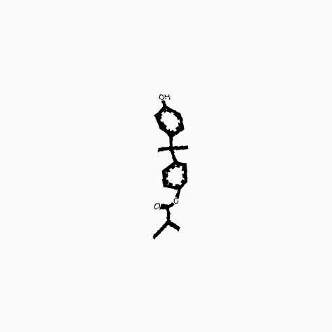 CC(C)C(=O)Oc1ccc(C(C)(C)c2ccc(O)cc2)cc1